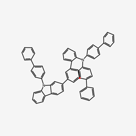 c1ccc(-c2ccc(N(c3ccc(-c4ccccc4)cc3)c3ccccc3-c3cccc(-c4ccc5c6ccccc6n(-c6ccc(-c7ccccc7)cc6)c5c4)c3)cc2)cc1